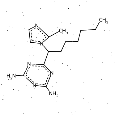 CCCCCCC(c1nc(N)nc(N)n1)n1ccnc1C